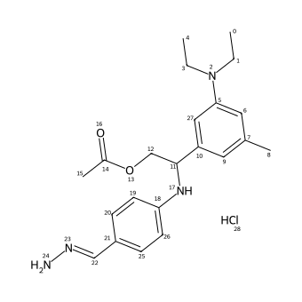 CCN(CC)c1cc(C)cc(C(COC(C)=O)Nc2ccc(C=NN)cc2)c1.Cl